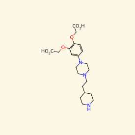 O=C(O)COc1ccc(N2CCN(CCC3CCNCC3)CC2)cc1OCC(=O)O